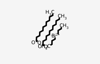 CCCCCCCCCCCC(=O)[O-].CCCCCCCCCCCC(=O)[O-].CCC[CH2][Bi+2][CH2]CCC